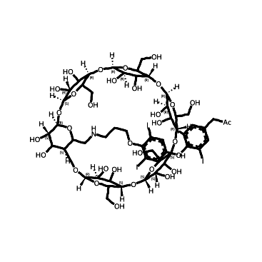 CC(=O)Cc1cc(I)c(Oc2cc(I)c(OCCCNCC3O[C@@H]4O[C@@H]5OC(CO)[C@H](O[C@H]6OC(CO)[C@H](O[C@H]7OC(CO)[C@H](O[C@@H]8C(CO)O[C@@H](O[C@@H]9C(CO)O[C@H](O[C@H]3C(O)[C@@H]4O)[C@@H](O)C9O)[C@@H](O)C8O)C(O)[C@H]7O)C(O)[C@H]6O)C(O)[C@H]5O)c(I)c2)c(I)c1